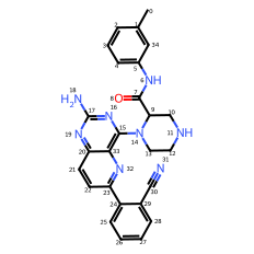 Cc1cccc(NC(=O)C2CNCCN2c2nc(N)nc3ccc(-c4ccccc4C#N)nc23)c1